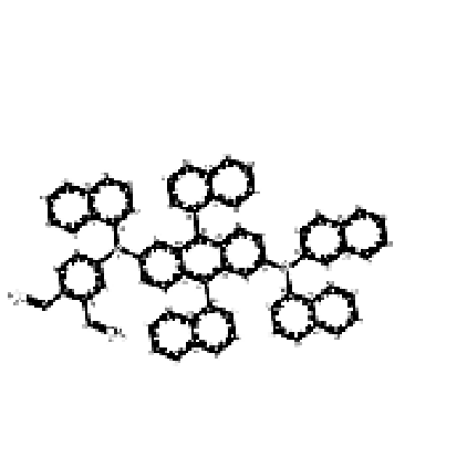 C=Cc1ccc(N(c2ccc3c(-c4cccc5ccccc45)c4cc(N(c5ccc6ccccc6c5)c5cccc6ccccc56)ccc4c(-c4cccc5ccccc45)c3c2)c2cccc3ccccc23)cc1C=C